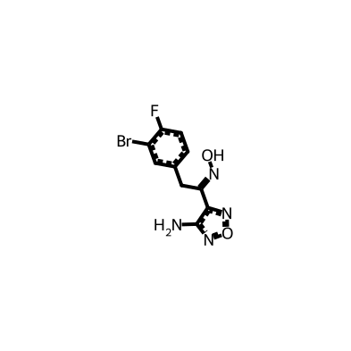 Nc1nonc1/C(Cc1ccc(F)c(Br)c1)=N/O